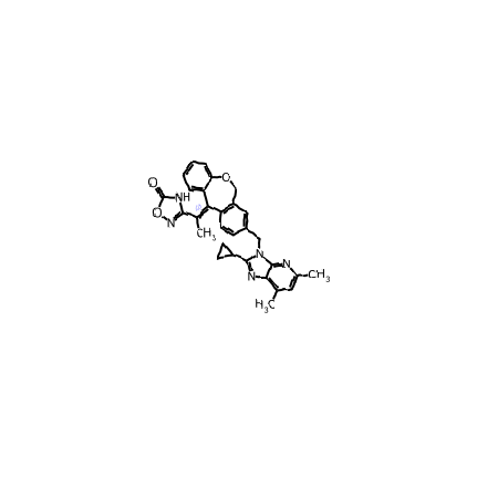 C/C(=C1\c2ccc(Cn3c(C4CC4)nc4c(C)cc(C)nc43)cc2COc2ccccc21)c1noc(=O)[nH]1